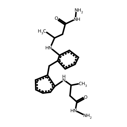 CC(CC(=O)NN)Nc1ccccc1Cc1ccccc1NC(C)CC(=O)NN